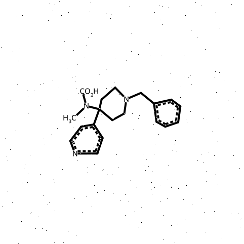 CN(C(=O)O)C1(c2ccncc2)CCN(Cc2ccccc2)CC1